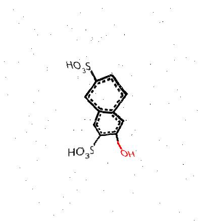 O=S(=O)(O)c1[c]cc2[c]c(O)c(S(=O)(=O)O)cc2c1